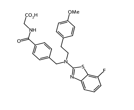 COc1ccc(CCN(Cc2ccc(C(=O)NCC(=O)O)cc2)c2nc3cccc(F)c3s2)cc1